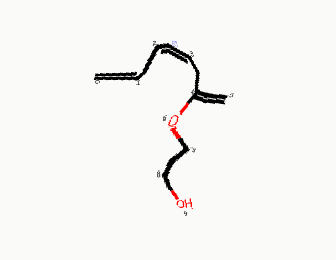 C=C/C=C\C(=C)OCCO